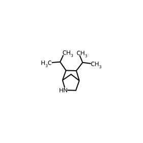 CC(C)C1C2CNC(C2)C1C(C)C